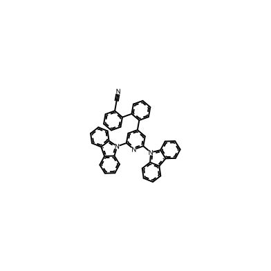 N#Cc1ccccc1-c1ccccc1-c1cc(-n2c3ccccc3c3ccccc32)nc(-n2c3ccccc3c3ccccc32)c1